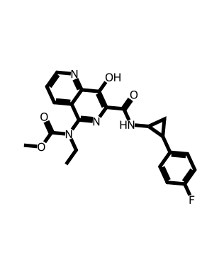 CCN(C(=O)OC)c1nc(C(=O)NC2CC2c2ccc(F)cc2)c(O)c2ncccc12